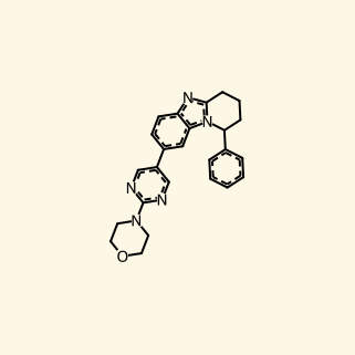 c1ccc(C2CCCc3nc4ccc(-c5cnc(N6CCOCC6)nc5)cc4n32)cc1